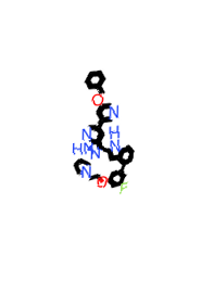 Fc1cc(OCCN2CCCC2)cc(-c2cccc3[nH]c(-c4n[nH]c5ncc(-c6cncc(OCc7ccccc7)c6)cc45)cc23)c1